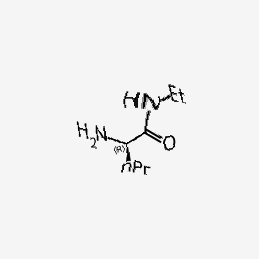 [CH2]CC[C@@H](N)C(=O)NCC